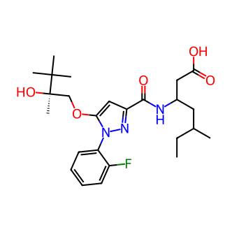 CCC(C)CC(CC(=O)O)NC(=O)c1cc(OC[C@@](C)(O)C(C)(C)C)n(-c2ccccc2F)n1